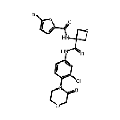 O=C(NC1(C(=O)Nc2ccc(N3CCOCC3=O)c(Cl)c2)CSC1)c1ccc(Br)s1